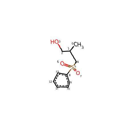 CC(CO)CS(=O)(=O)c1ccccc1